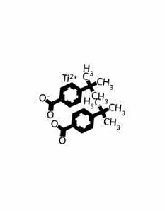 CC(C)(C)c1ccc(C(=O)[O-])cc1.CC(C)(C)c1ccc(C(=O)[O-])cc1.[Ti+2]